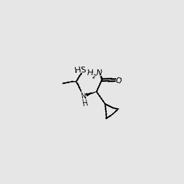 CC(S)N[C@@H](C(N)=O)C1CC1